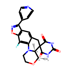 C[C@@H]1OCCN2c3c(cc4c(-c5ccncc5)noc4c3F)CC3(C(=O)NC(=O)NC3=O)[C@@H]12